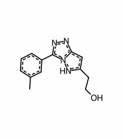 Cc1cccc(-c2nnc3cc(CCO)[nH]n23)c1